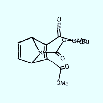 COC(=O)C1=C(C(=O)OC)C2C=CC1N2C(=O)OC(C)(C)C